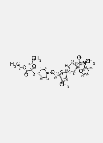 CCOC(=O)[C@H](Cc1ccc(OCc2sc(-c3ccc(C(=O)N(C)c4ccco4)cc3)cc2C)cc1)OCC